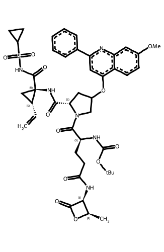 C=C[C@@H]1C[C@]1(NC(=O)[C@@H]1CC(Oc2cc(-c3ccccc3)nc3cc(OC)ccc23)CN1C(=O)[C@H](CCC(=O)N[C@@H]1C(=O)O[C@@H]1C)NC(=O)OC(C)(C)C)C(=O)NS(=O)(=O)C1CC1